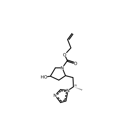 C=CCOC(=O)N1CC(O)CC1C[C@H](C)n1ccnc1